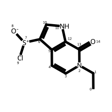 CCn1ccc2c([S+]([O-])Cl)c[nH]c2c1=O